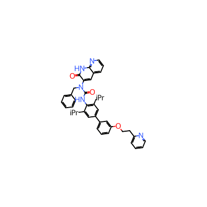 CC(C)c1cc(-c2cccc(OCCc3ccccn3)c2)cc(C(C)C)c1NC(=O)N(Cc1ccccc1)c1cc2cccnc2[nH]c1=O